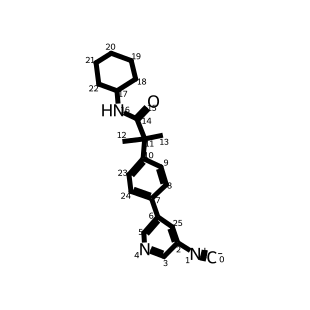 [C-]#[N+]c1cncc(-c2ccc(C(C)(C)C(=O)NC3CCCCC3)cc2)c1